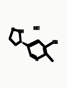 Cc1ncc([C@@H]2CCON2)cc1C#N.Cl